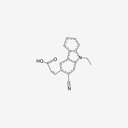 CCn1c2ccccc2c2cc(/C=C\C(=O)O)c(C#N)cc21